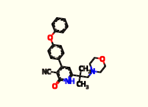 CC(C)(CN1CCOCC1)c1cc(-c2ccc(Oc3ccccc3)cc2)c(C#N)c(=O)[nH]1